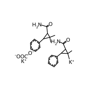 CC1(C)C(C(N)=O)C1c1ccccc1.CC1(C)C(C(N)=O)C1c1ccccc1.O=C([O-])[O-].[K+].[K+]